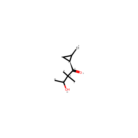 CCC1C[C@@H]1C(=O)C(C)(C)C(C)O